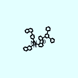 c1ccc(-c2cc(-c3ccccc3)cc(-c3cccc4c3oc3cccc(-c5nc(-c6ccc(-c7cccc8ccccc78)cc6)nc(-c6ccc7ccccc7c6)n5)c34)c2)cc1